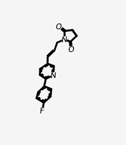 O=C1CCC(=O)N1CC=Cc1ccc(-c2ccc(F)cc2)nc1